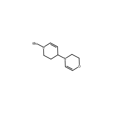 CC(C)(C)N1C=CC(N2C=COCC2)CC1